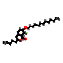 C=CCCc1cc2ccc(OCCCCCCCCCCCC)c(F)c2c(=O)o1